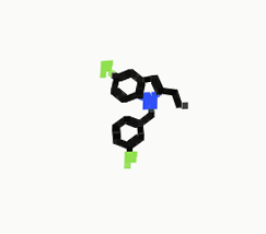 [CH2]Cc1cc2cc(F)ccc2n1Cc1cccc(F)c1